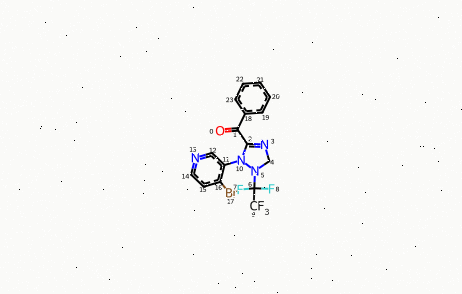 O=C(C1=NCN(C(F)(F)C(F)(F)F)N1c1cnccc1Br)c1ccccc1